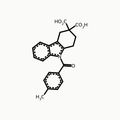 Cc1ccc(C(=O)n2c3c(c4ccccc42)CC(C(=O)O)(C(=O)O)CC3)cc1